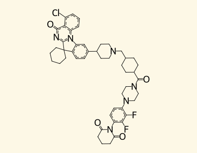 O=C(C1CCC(CN2CCC(c3ccc4c(c3)-n3c(nc(=O)c5c(Cl)cccc53)C43CCCCC3)CC2)CC1)N1CCN(c2ccc(N3C(=O)CCCC3=O)c(F)c2F)CC1